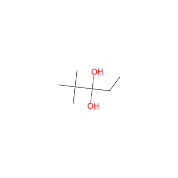 CCC(O)(O)C(C)(C)C